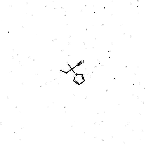 CCC(I)(C#N)n1cccc1